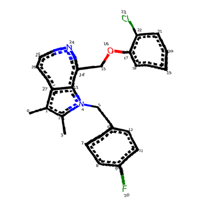 Cc1c(C)n(Cc2ccc(F)cc2)c2c(COc3ccccc3Cl)nccc12